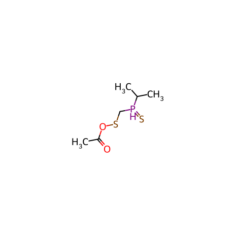 CC(=O)OSC[PH](=S)C(C)C